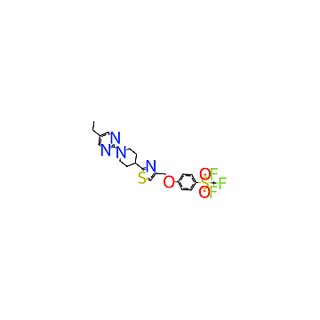 CCc1cnc(N2CCC(c3nc(COc4ccc(S(=O)(=O)C(F)(F)F)cc4)cs3)CC2)nc1